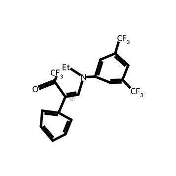 CCN(/C=C(\C(=O)C(F)(F)F)c1ccccc1)c1cc(C(F)(F)F)cc(C(F)(F)F)c1